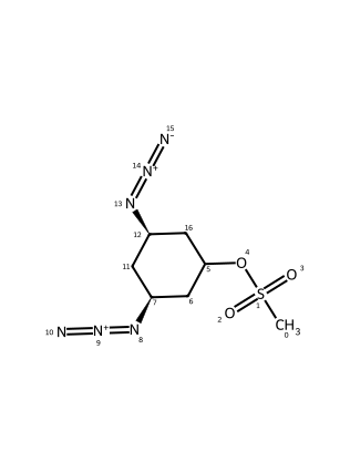 CS(=O)(=O)OC1C[C@@H](N=[N+]=[N-])C[C@@H](N=[N+]=[N-])C1